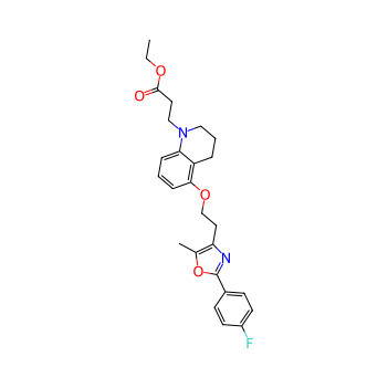 CCOC(=O)CCN1CCCc2c(OCCc3nc(-c4ccc(F)cc4)oc3C)cccc21